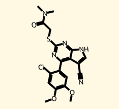 COc1cc(Cl)c(-c2nc(SCC(=O)N(C)C)nc3[nH]cc(C#N)c23)cc1OC